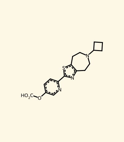 O=C(O)Oc1ccc(-c2nc3c(s2)CCN(C2CCC2)CC3)nc1